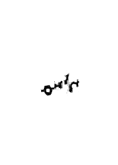 Cc1ccc(-c2nc(C[C@H](NC(CC(C)C)C(=O)O)C(=O)O)cs2)cc1